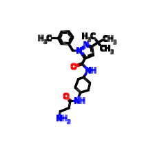 Cc1cccc(Cn2nc(C(C)(C)C)cc2C(=O)NC2CCC(NC(=O)CCN)CC2)c1